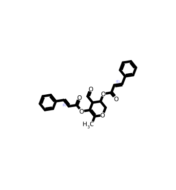 CC1=C(OC(=O)/C=C/c2ccccc2)C(C=O)C(OC(=O)/C=C/c2ccccc2)CO1